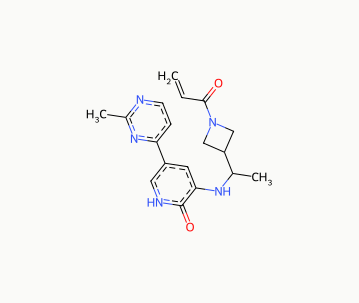 C=CC(=O)N1CC(C(C)Nc2cc(-c3ccnc(C)n3)c[nH]c2=O)C1